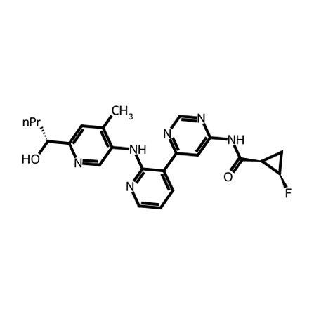 CCC[C@@H](O)c1cc(C)c(Nc2ncccc2-c2cc(NC(=O)[C@H]3C[C@H]3F)ncn2)cn1